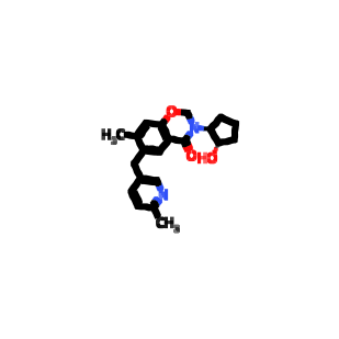 Cc1ccc(Cc2cc3c(cc2C)OCN([C@H]2CCC[C@@H]2O)C3=O)cn1